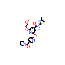 COC[C@@H](C)Oc1cc(C(=O)Nc2nc(C)cs2)cc(Oc2ccc(C(=O)N3CCCC3)cn2)n1